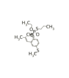 CCCSP(=O)(OCC)Oc1ccc(SC)cc1C=C(C)C